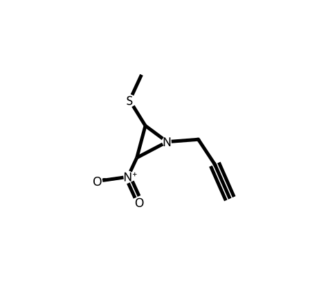 C#CCN1C(SC)C1[N+](=O)[O-]